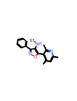 CCNc1c(-c2ccccc2)noc1-c1c(C)cc(C)nc1C